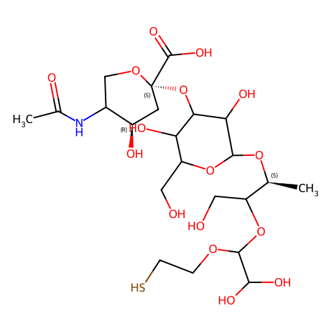 CC(=O)NC1CO[C@@](OC2C(O)C(CO)OC(O[C@@H](C)C(CO)OC(OCCS)C(O)O)C2O)(C(=O)O)C[C@H]1O